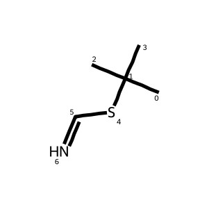 CC(C)(C)SC=N